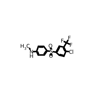 CNc1ccc(S(=O)(=O)c2ccc(Cl)c(C(F)(F)F)c2)cc1